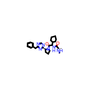 CN[C@@H](C)C(=O)N[C@H](C(=O)N1CCC[C@H]1c1ncnc(Cc2ccccc2)n1)C1CCCCC1